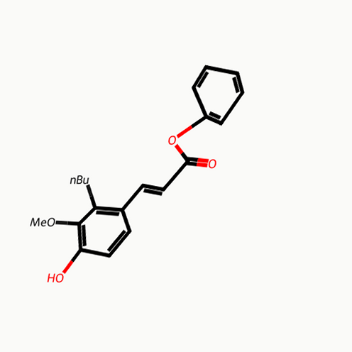 CCCCc1c(C=CC(=O)Oc2ccccc2)ccc(O)c1OC